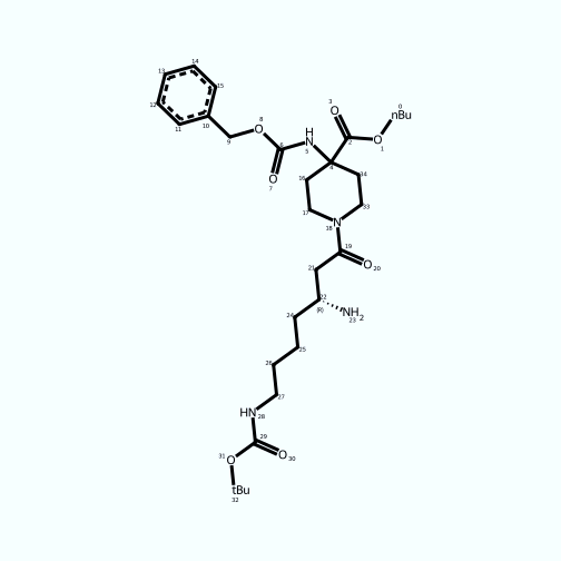 CCCCOC(=O)C1(NC(=O)OCc2ccccc2)CCN(C(=O)C[C@H](N)CCCCNC(=O)OC(C)(C)C)CC1